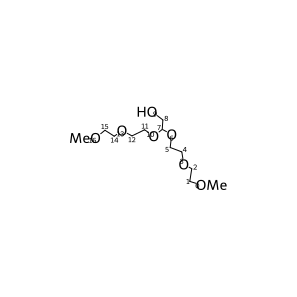 COCCOCCOC(CO)OCCOCCOC